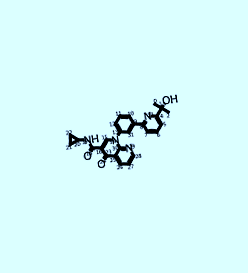 CC(C)(O)c1cccc(-c2cccc(-n3cc(C(=O)NC4CC4)c(=O)c4cccnc43)c2)n1